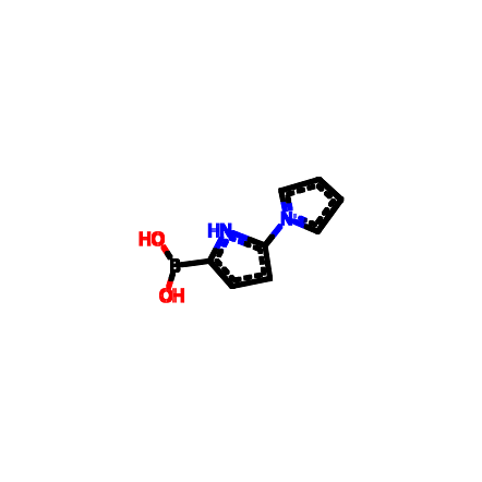 OB(O)c1ccc(-n2cccc2)[nH]1